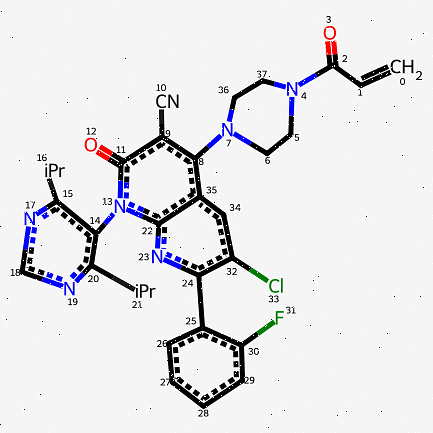 C=CC(=O)N1CCN(c2c(C#N)c(=O)n(-c3c(C(C)C)ncnc3C(C)C)c3nc(-c4ccccc4F)c(Cl)cc23)CC1